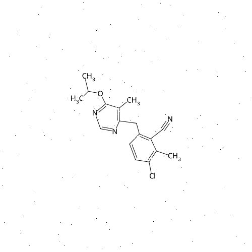 Cc1c(Cc2ccc(Cl)c(C)c2C#N)ncnc1OC(C)C